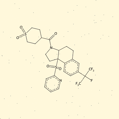 O=C(C1CCS(=O)(=O)CC1)N1CCC2(S(=O)(=O)c3ccccn3)c3ccc(C(F)(C(F)(F)F)C(F)(F)F)cc3CCC12